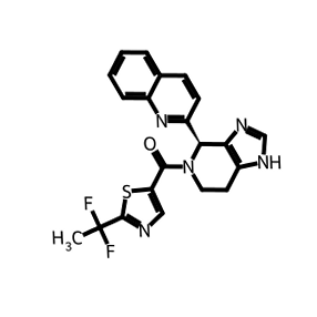 CC(F)(F)c1ncc(C(=O)N2CCc3[nH]cnc3[C@@H]2c2ccc3ccccc3n2)s1